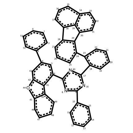 c1ccc(-c2cc(-c3nc(-c4ccccc4)nc(-c4ccccc4-c4cccc5c4-c4cccc6cccc-5c46)n3)c3c(c2)oc2ccccc23)cc1